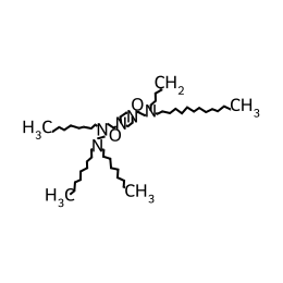 C=CCCCN(CCCCCCCCCCCCCC)CC(=O)N1CCN(C(=O)CN(CCCCCCCCC)CCN(CCCCCCCCC)CCCCCCCCC)CC1